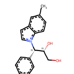 Cc1ccc2c(ccn2[C@@H](c2ccccc2)[C@H](O)CO)c1